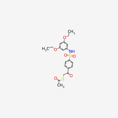 CCOc1cc(NS(=O)(=O)c2ccc(C(=O)CSC(C)=O)cc2)cc(OCC)c1